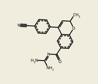 CC1C=C(c2ccc(C#N)cc2)c2cc(C(=O)N=C(N)N)ccc2O1